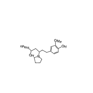 CCCCCC(O)CC(CCc1ccc(O)c(OC)c1)N1CCCC1